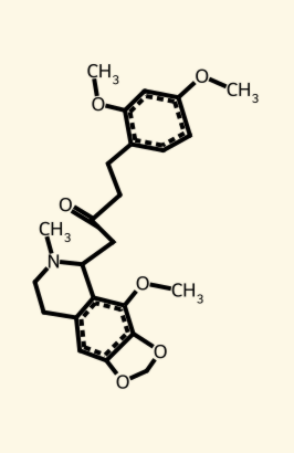 COc1ccc(CCC(=O)CC2c3c(cc4c(c3OC)OCO4)CCN2C)c(OC)c1